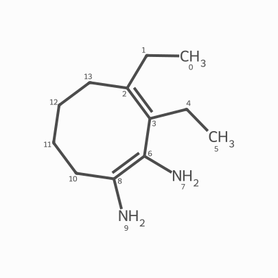 CCC1=C(CC)C(N)=C(N)CCCC1